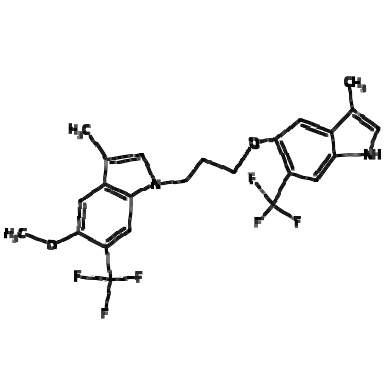 COc1cc2c(C)cn(CCCOc3cc4c(C)c[nH]c4cc3C(F)(F)F)c2cc1C(F)(F)F